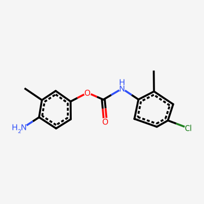 Cc1cc(OC(=O)Nc2ccc(Cl)cc2C)ccc1N